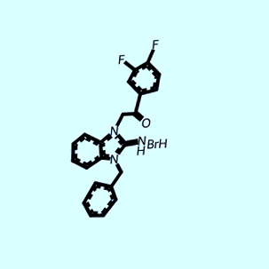 Br.N=c1n(CC(=O)c2ccc(F)c(F)c2)c2ccccc2n1Cc1ccccc1